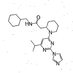 CC(C)c1cc(N2CCCCC2CC(=O)NCC2CCCCC2)nc(-n2ccnc2)n1